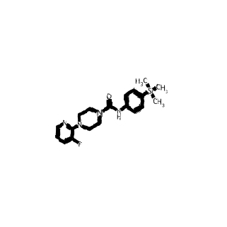 C[Si](C)(C)c1ccc(NC(=O)N2CCN(c3ncccc3F)CC2)cc1